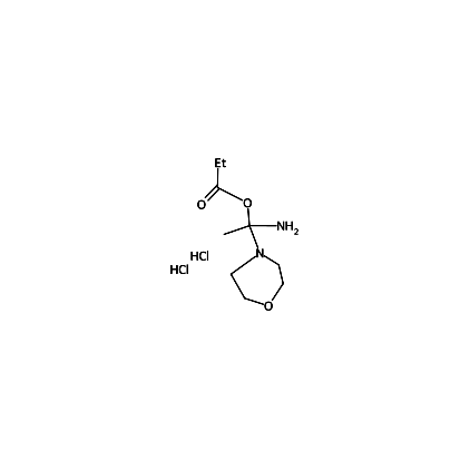 CCC(=O)OC(C)(N)N1CCOCC1.Cl.Cl